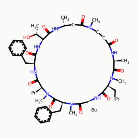 CC[C@H](C)[C@@H]1NC(=O)[C@H](CC(C)C)N(C)C(=O)[C@H](C)NC(=O)CCN(C)C(=O)C[C@@H](C)NC(=O)[C@H]([C@@H](C)O)NC(=O)[C@H](Cc2ccccc2)NC(=O)[C@H](C(C)C)N(C)C(=O)[C@H](Cc2ccccc2)N(C)C1=O